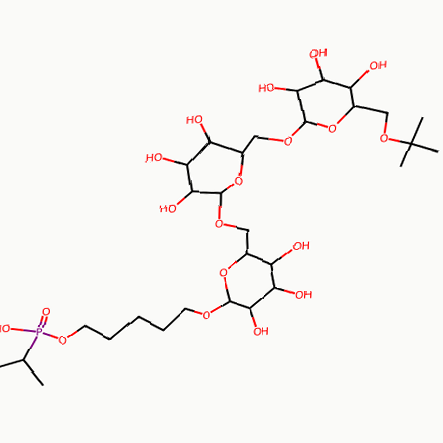 CC(C)P(=O)(O)OCCCCCOC1OC(COC2OC(COC3OC(COC(C)(C)C)C(O)C(O)C3O)C(O)C(O)C2O)C(O)C(O)C1O